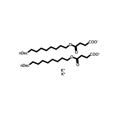 CCCCCCCCCCCCCCCCCCOC(=O)CCC(=O)[O-].CCCCCCCCCCCCCCCCCCOC(=O)CCC(=O)[O-].[K+].[K+]